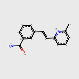 Cc1cccc(C=Cc2cccc(C(N)=O)c2)n1